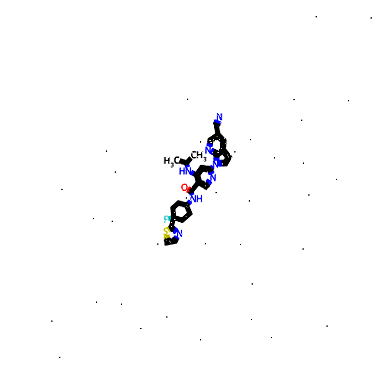 CC(C)Nc1cc(-n2ccc3cc(C#N)cnc32)ncc1C(=O)NC1CCC(F)(c2nccs2)CC1